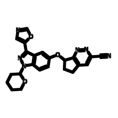 N#Cc1cc2c(nn1)C(Oc1ccc3c(c1)c(-c1cnco1)nn3C1CCCCO1)CC2